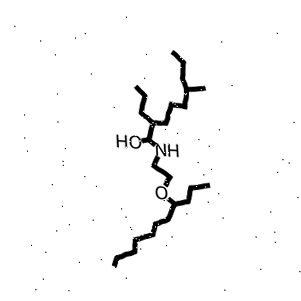 CCCCCCCC(CCC)OCCNC(O)C(CCC)CCCC(C)CCC